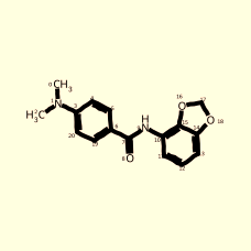 CN(C)c1ccc(C(=O)Nc2cccc3c2OCO3)cc1